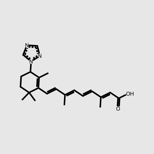 CC1=C(/C=C/C(C)=C/C=C/C(C)=C/C(=O)O)C(C)(C)CCC1n1cncn1